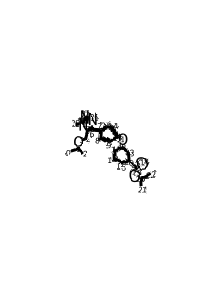 CC(C)OCc1c(-c2ccc(O[C@H]3CCC[C@H](C(=O)OC(C)C)C3)cc2)nnn1C